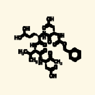 CC(=O)[C@H](CC(=O)O)NC(=O)[C@@H](NC(=O)[C@H](CCC(O)O)NC(=O)[C@H](CC(=O)O)NC(=O)OCc1ccccc1)C(C)C